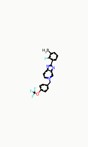 Bc1cccc(-c2nc3ccn(Cc4ccc(OC(F)(F)F)cc4)cc-3n2)c1F